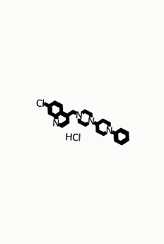 Cl.Clc1ccc2c(CN3CCN(C4CCN(c5ccccc5)CC4)CC3)ccnc2c1